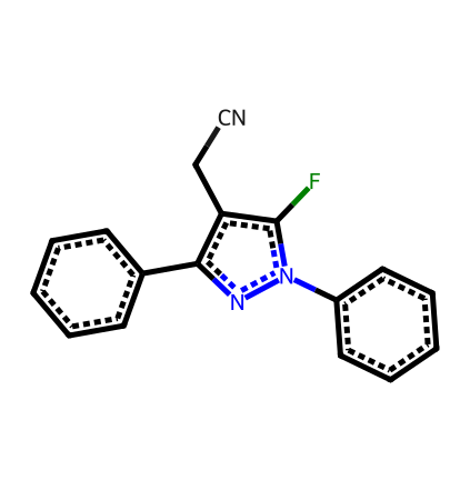 N#CCc1c(-c2ccccc2)nn(-c2ccccc2)c1F